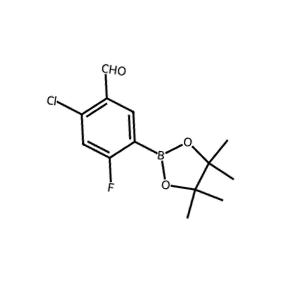 CC1(C)OB(c2cc(C=O)c(Cl)cc2F)OC1(C)C